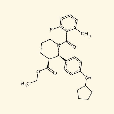 CCOC(=O)[C@H]1CCCN(C(=O)c2c(C)cccc2F)[C@H]1c1ccc(NC2CCCC2)cc1